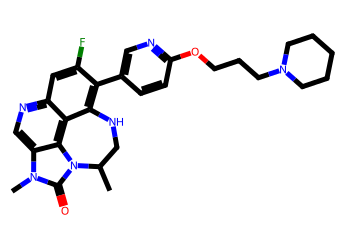 CC1CNc2c(-c3ccc(OCCCN4CCCCC4)nc3)c(F)cc3ncc4c(c23)n1c(=O)n4C